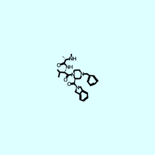 CN[C@@H](C)C(=O)N[C@H](C(=O)N1CCN(Cc2ccccc2)C[C@H]1C(=O)N1Cc2ccccc2C1)C(C)C